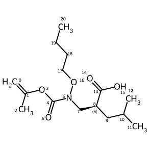 C=C(C)OC(=O)N(C[C@H](CC(C)C)C(=O)O)OCCCC